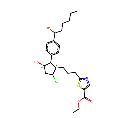 CCCCCC(O)c1ccc(C2[C@@H](CCCc3ncc(C(=O)OCC)s3)C(Cl)C[C@H]2O)cc1